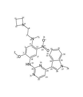 COc1cc(N(C)CCN2CCC2)c([N+](=O)[O-])cc1Nc1nccc(-c2cn(C)c3ccccc23)n1